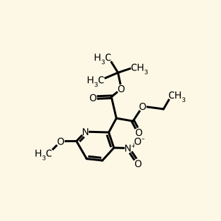 CCOC(=O)C(C(=O)OC(C)(C)C)c1nc(OC)ccc1[N+](=O)[O-]